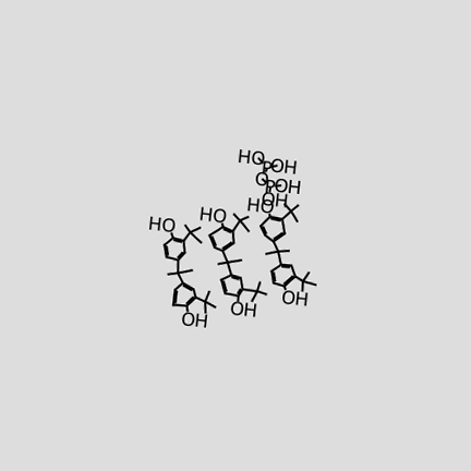 CC(C)(C)c1cc(C(C)(C)c2ccc(O)c(C(C)(C)C)c2)ccc1O.CC(C)(C)c1cc(C(C)(C)c2ccc(O)c(C(C)(C)C)c2)ccc1O.CC(C)(C)c1cc(C(C)(C)c2ccc(O)c(C(C)(C)C)c2)ccc1O.OP(O)OP(O)O